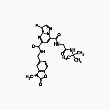 Cn1c(=O)oc2ccc(CNC(=O)c3cc(C(=O)NCC(=O)NC(C)(C)C)n4ncc(F)c4n3)cc21